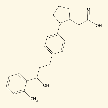 Cc1ccccc1C(O)CCc1ccc(N2CCCC2CC(=O)O)cc1